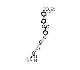 C=CC(O)OCCOCCOCCOc1ccc(C(=O)Oc2ccc(-c3ccc(C(=O)OCC)cc3)cc2)cc1